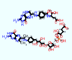 Cc1nc2nc(N)[nH]c(=O)c2nc1C(C)Nc1ccc(CC(O)C(O)C(O)CO[C@H]2O[C@H](COP(=O)(O)OC(CCC(=O)O)C(=O)O)[C@@H](O)[C@H]2O)cc1.Nc1nc2c(c(=O)[nH]1)NC(CNc1ccc(C(=O)NC(CCC(=O)O)C(=O)O)cc1)CN2